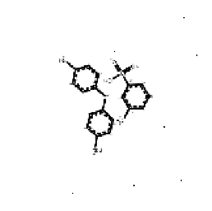 CC(C)(C)c1ccc([I+]c2ccc(C(C)(C)C)cc2)cc1.O=S(=O)([O-])c1cccc(C(F)(F)F)c1